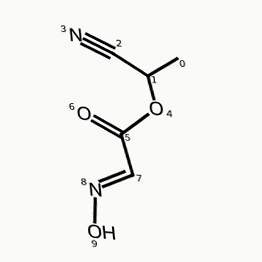 CC(C#N)OC(=O)C=NO